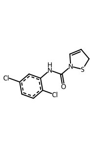 O=C(Nc1cc(Cl)ccc1Cl)N1C=CCS1